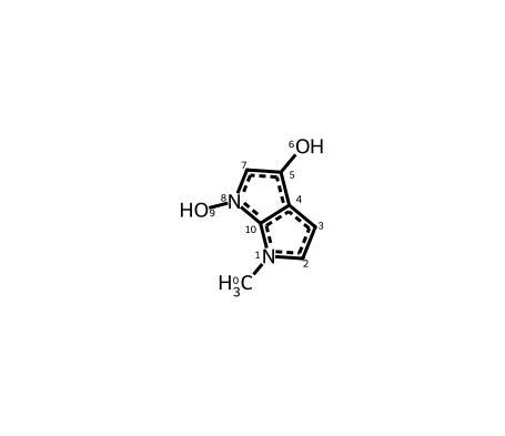 Cn1ccc2c(O)cn(O)c21